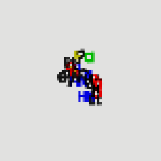 CCNC(=O)[C@H]1C[C@@H](Nc2nccc(N(C(CC)Cc3sccc3Cl)S(=O)(=O)c3ccc(C)cc3)c2[N+](=O)[O-])[C@@H]2OC(C)(C)O[C@@H]21